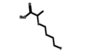 CC(C)COC(=O)C(C)SCCCCF